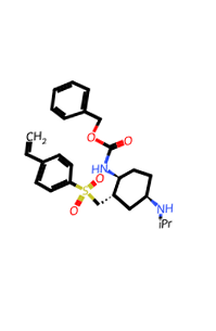 C=Cc1ccc(S(=O)(=O)C[C@H]2C[C@H](NC(C)C)CC[C@@H]2NC(=O)OCc2ccccc2)cc1